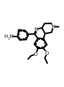 CCOc1cc2c(cc1OCC)C1CN(C)CCC1N=C2c1ccc(N)cc1